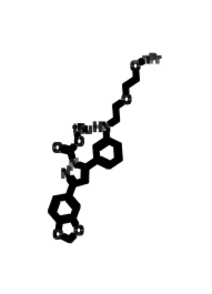 CCCOCCOCCNc1cccc(-c2cc(-c3ccc4c(c3)OCO4)nn2C(=O)OC(C)(C)C)c1